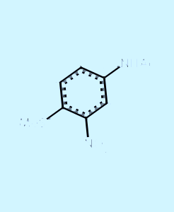 CSc1ccc(NC(C)=O)cc1[N+](=O)[O-]